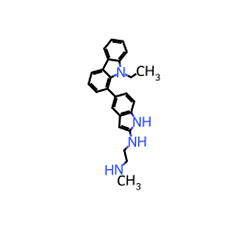 CCn1c2ccccc2c2cccc(-c3ccc4[nH]c(NCCNC)cc4c3)c21